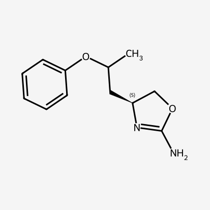 CC(C[C@H]1COC(N)=N1)Oc1ccccc1